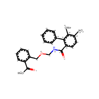 COC(=O)c1ccccc1COCNC(=O)c1ccc([N+](=O)[O-])c(OC)c1-c1ccccc1